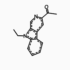 CCn1c2ccccc2c2cc(C(C)=O)ncc21